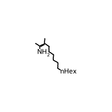 CCCCCCCCCCCCC(C)=C(C)N